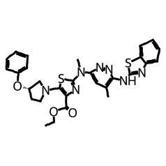 CCOC(=O)c1nc(N(C)c2cc(C)c(Nc3nc4ccccc4s3)nn2)sc1N1CC[C@H](Oc2ccccc2)C1